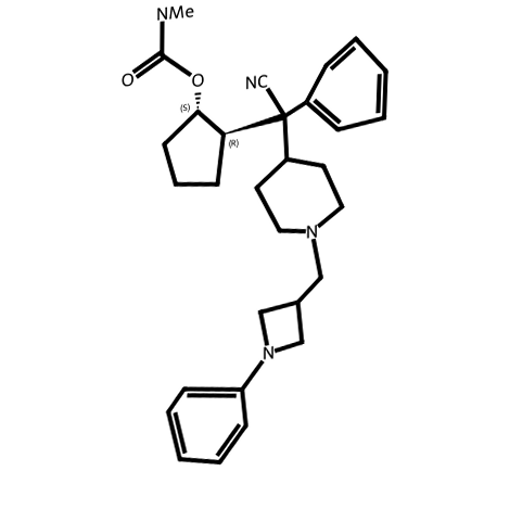 CNC(=O)O[C@H]1CCC[C@@H]1C(C#N)(c1ccccc1)C1CCN(CC2CN(c3ccccc3)C2)CC1